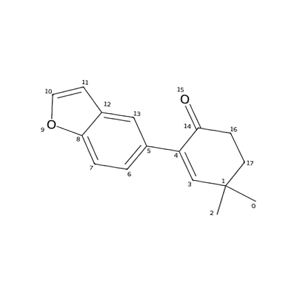 CC1(C)C=C(c2ccc3occc3c2)C(=O)CC1